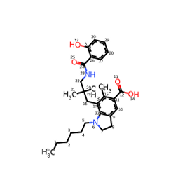 CCCCCCN1CCc2cc(C(=O)O)c(C)c(CC(C)(C)CNC(=O)c3ccccc3O)c21